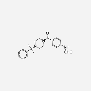 CC(C)(c1ccccc1)N1CCN(C(=O)c2ccc(NC=O)cc2)CC1